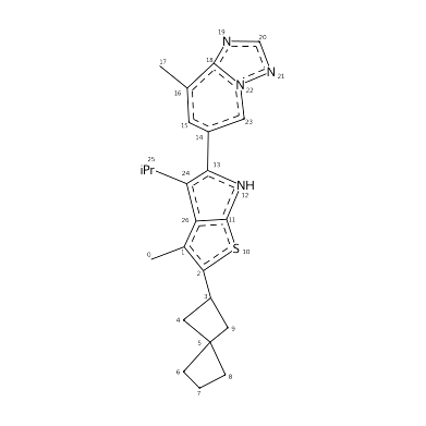 Cc1c(C2CC3(CCC3)C2)sc2[nH]c(-c3cc(C)c4ncnn4c3)c(C(C)C)c12